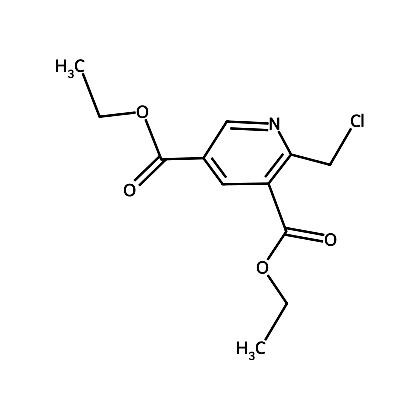 CCOC(=O)c1cnc(CCl)c(C(=O)OCC)c1